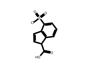 O=C(O)C1C=Cc2c1cccc2S(=O)(=O)Cl